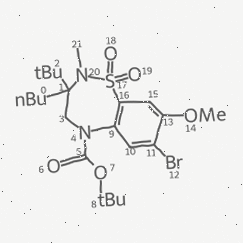 CCCCC1(C(C)(C)C)CN(C(=O)OC(C)(C)C)c2cc(Br)c(OC)cc2S(=O)(=O)N1C